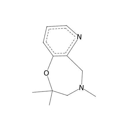 CN1Cc2ncccc2OC(C)(C)C1